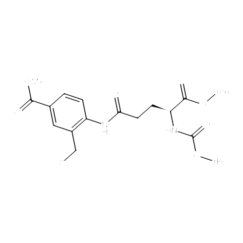 COC(=O)c1ccc(NC(=O)CC[C@H](NC(=O)OC(C)(C)C)C(=O)OC(C)(C)C)c(CF)c1